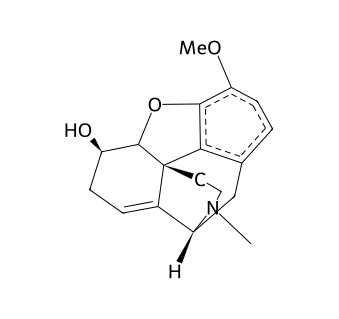 COc1ccc2c3c1OC1[C@H](O)CC=C4[C@@H](C2)N(C)CC[C@]431